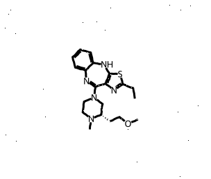 CCc1nc2c(s1)Nc1ccccc1N=C2N1CCN(C)[C@@H](CCOC)C1